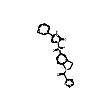 O=C(c1ccco1)N1CCc2cc(S(=O)(=O)n3cc(-c4ccccc4)[nH]c3=O)ccc21